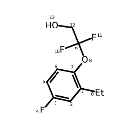 CCc1cc(F)ccc1OC(F)(F)CO